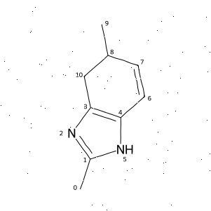 Cc1nc2c([nH]1)C=CC(C)C2